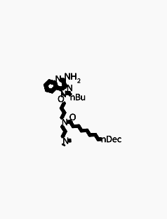 CCCCCCCCCCCCCCCCCC(=O)N(CCCCOn1c(CCCC)nc2c(N)nc3ccccc3c21)CCCN(C)C